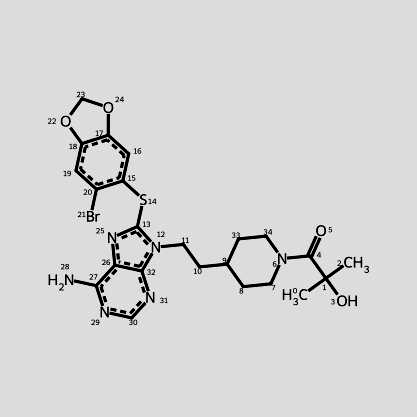 CC(C)(O)C(=O)N1CCC(CCn2c(Sc3cc4c(cc3Br)OCO4)nc3c(N)ncnc32)CC1